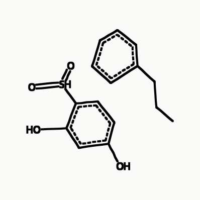 CCCc1ccccc1.O=[SH](=O)c1ccc(O)cc1O